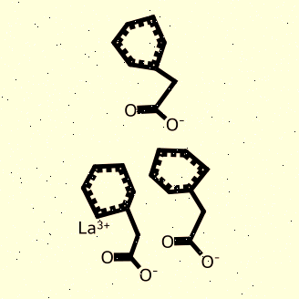 O=C([O-])Cc1ccccc1.O=C([O-])Cc1ccccc1.O=C([O-])Cc1ccccc1.[La+3]